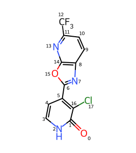 O=c1[nH]ccc(-c2nc3ccc(C(F)(F)F)nc3o2)c1Cl